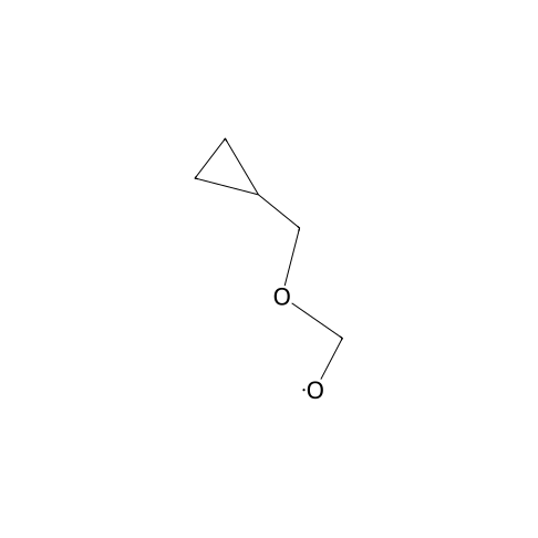 [O]COCC1CC1